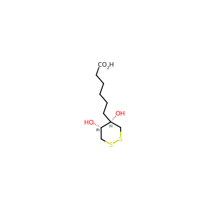 O=C(O)CCCCC[C@@]1(O)CSSC[C@@H]1O